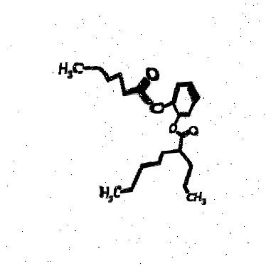 CCCCCC(=O)Oc1ccccc1OC(=O)C(CCC)CCCCC